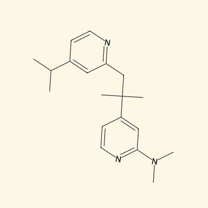 CC(C)c1ccnc(CC(C)(C)c2ccnc(N(C)C)c2)c1